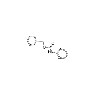 O=C(Nc1[c]cccc1)OCc1ccccc1